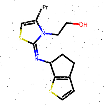 CC(C)c1csc(=NC2CCc3ccsc32)n1CCO